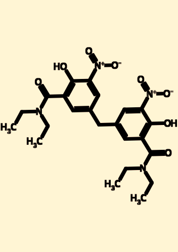 CCN(CC)C(=O)c1cc(Cc2cc(C(=O)N(CC)CC)c(O)c([N+](=O)[O-])c2)cc([N+](=O)[O-])c1O